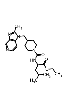 CCOC(=O)C(CC(C)C)NC(=O)N1CCC(Cn2c(C)nc3cnccc32)CC1